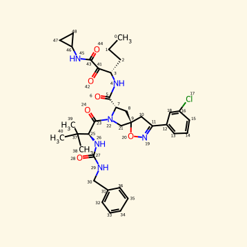 CCC[C@H](NC(=O)[C@@H]1C[C@]2(CC(c3cccc(Cl)c3)=NO2)CN1C(=O)[C@@H](NC(=O)NCc1ccccc1)C(C)(C)C)C(=O)C(=O)NC1CC1